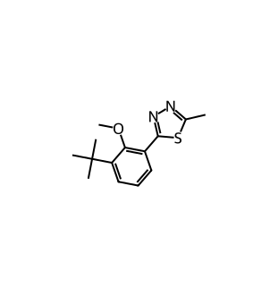 COc1c(-c2nnc(C)s2)cccc1C(C)(C)C